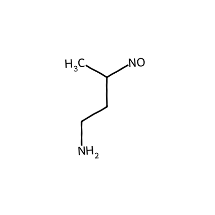 CC(CCN)N=O